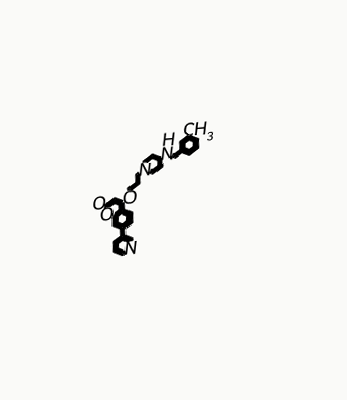 Cc1cccc(CNC2CCN(CCCOc3cc(=O)oc4cc(-c5cccnc5)ccc34)CC2)c1